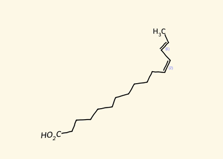 C/C=C/C=C\CCCCCCCCCCC(=O)O